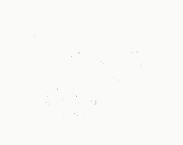 Nc1nc2c(ncn2[C@@H]2O[C@H](COP(=O)(O)O)[C@@H](O)[C@H]2O)c(=O)[nH]1.O=C(O)C1CCCN1O.Oc1ccco1